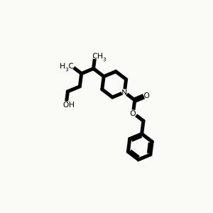 CC(CCO)C(C)C1CCN(C(=O)OCc2ccccc2)CC1